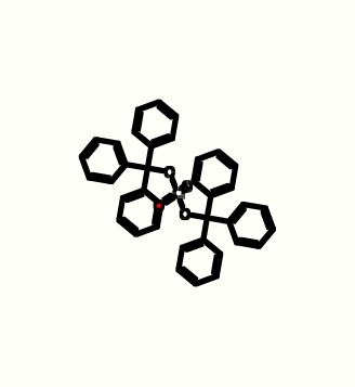 [O]=[Cr](=[O])([O]C(c1ccccc1)(c1ccccc1)c1ccccc1)[O]C(c1ccccc1)(c1ccccc1)c1ccccc1